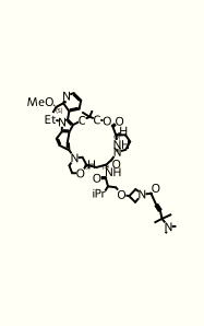 CCn1c(-c2cccnc2[C@H](C)OC)c2c3cc(ccc31)N1CCO[C@@H](C[C@H](NC(=O)C(COC3CN(C(=O)C#CC(C)(C)N(C)C)C3)C(C)C)C(=O)N3CCC[C@H](N3)C(=O)OCC(C)(C)C2)C1